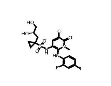 Cn1c(Nc2ccc(I)cc2F)c(NS(=O)(=O)C2(C[C@@H](O)CO)CC2)cc(Cl)c1=O